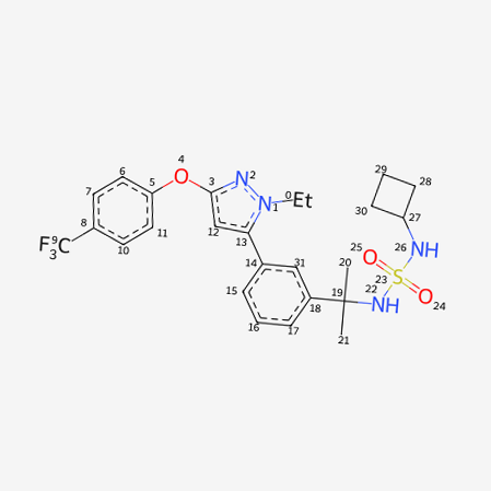 CCn1nc(Oc2ccc(C(F)(F)F)cc2)cc1-c1cccc(C(C)(C)NS(=O)(=O)NC2CCC2)c1